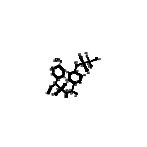 C.C=CC(c1cccnc1)S(=O)(=O)N[C@H](C)c1ccc(OS(=O)(=O)C(F)(F)F)cc1